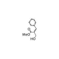 COC(=O)C(=Cc1ccccc1)CO